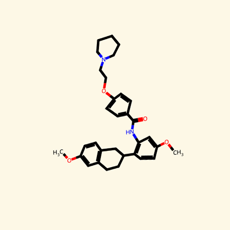 COc1ccc2c(c1)CCC(c1ccc(OC)cc1NC(=O)c1ccc(OCCN3CCCCC3)cc1)C2